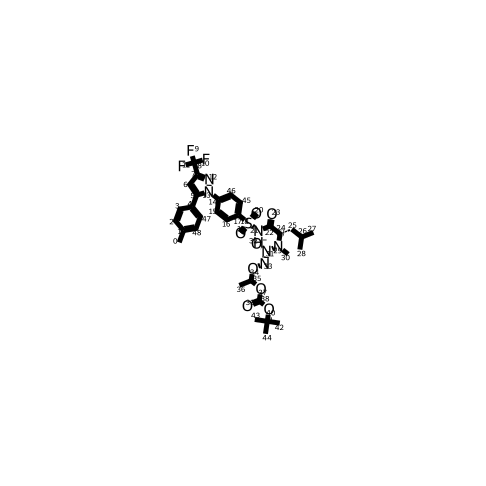 Cc1ccc(-c2cc(C(F)(F)F)nn2-c2ccc(S(=O)(=O)NC(=O)[C@H](CC(C)C)N(C)[N+]([O-])=NOC(C)OC(=O)OC(C)(C)C)cc2)cc1